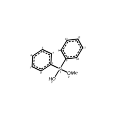 CO[Si](O)(c1ccccc1)c1ccccc1